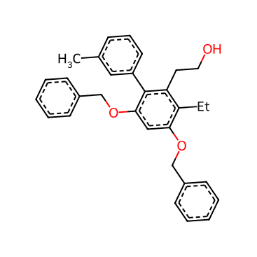 CCc1c(OCc2ccccc2)cc(OCc2ccccc2)c(-c2cccc(C)c2)c1CCO